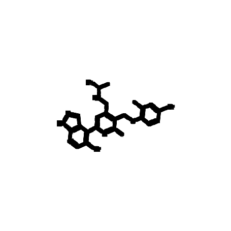 Cc1cc(C(C)C)ccc1OCc1c(CN[C@H](C)C(C)C)cc(-c2c(C(C)C)ccc3[nH]ncc23)nc1C